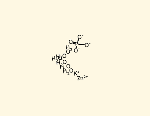 O.O.O.O.O.O.O=P([O-])([O-])[O-].[K+].[Zn+2]